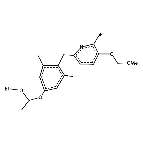 CCOC(C)Oc1cc(C)c(Cc2ccc(OCOC)c(C(C)C)n2)c(C)c1